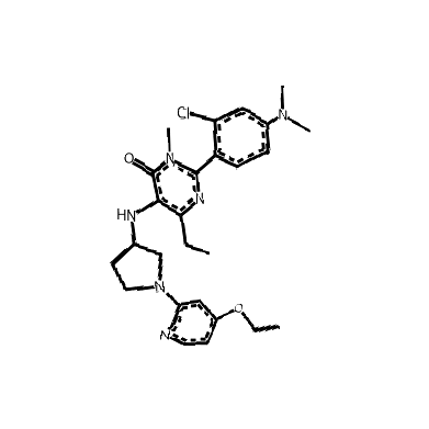 CCOc1ccnc(N2CCC(Nc3c(CC)nc(-c4ccc(N(C)C)cc4Cl)n(C)c3=O)C2)c1